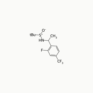 CC(N[S+]([O-])C(C)(C)C)c1ccc(C(F)(F)F)cc1F